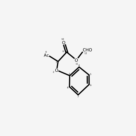 CC(=O)C(Oc1ccccc1)C(=O)OC=O